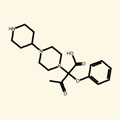 CC(=O)C(Oc1ccccc1)(C(=O)O)N1CCN(C2CCNCC2)CC1